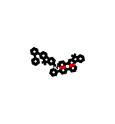 CC1(C)c2ccccc2-c2ccc(-c3ccc(N(c4ccc5c(c4)C(C)(C)c4cc(-c6ccccc6-c6ccccc6)ccc4-5)c4ccccc4-c4ccc(-c5ccccc5)cc4)cc3)cc21